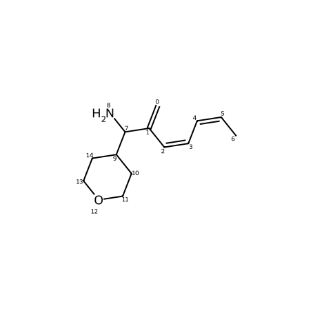 C=C(/C=C\C=C/C)C(N)C1CCOCC1